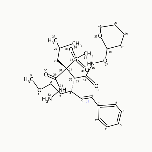 COCCC(/C=C/c1ccccc1)[C@@H](C(=O)NOC1CCCCO1)[C@](CC(C)C)(C(=O)NN)S(C)(=O)=O